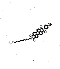 CCCCCCCCCCCCN1C(=O)c2ccc3c4ccc5c6c(ccc(c7ccc(c2c37)C1=O)c64)C(=O)N(c1ccc(S)cc1)C5=O